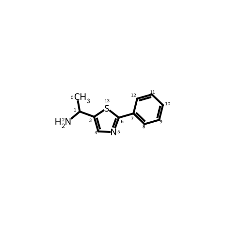 CC(N)c1cnc(-c2ccccc2)s1